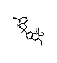 C#Cc1cccc(CC(C)(C#N)c2ccc3cc(CC)c(=O)[nH]c3c2)n1